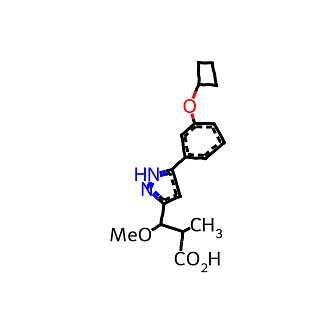 COC(c1cc(-c2cccc(OC3CCC3)c2)[nH]n1)C(C)C(=O)O